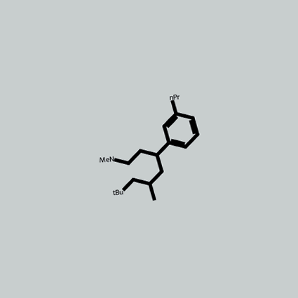 CCCc1cccc(C(CCNC)CC(C)CC(C)(C)C)c1